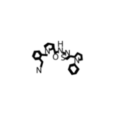 N#CCc1ccccc1Cn1cccc1C(=O)Nc1nc(C2CCCN2c2ccccc2)cs1